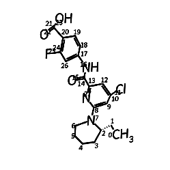 CC[C@@H]1CCCCN1c1cc(Cl)cc(C(=O)Nc2ccc(C(=O)O)c(F)c2)n1